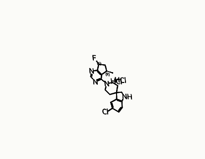 C[C@@H]1C[C@H](F)c2ncnc(N3CCC4(CC3)CNc3ccc(Cl)cc34)c21.Cl.Cl